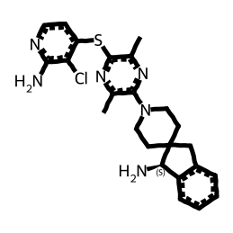 Cc1nc(N2CCC3(CC2)Cc2ccccc2[C@H]3N)c(C)nc1Sc1ccnc(N)c1Cl